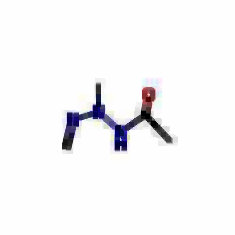 C=NN(C)NC(C)=O